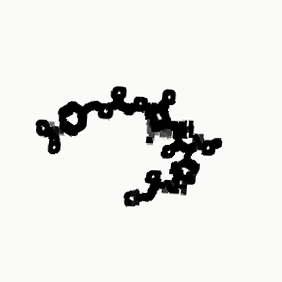 CON=C(C(=O)N[C@@H]1C(=O)N(OCC(=O)OCc2ccc([N+](=O)[O-])cc2)[C@H]1C)c1csc(NC(=O)CCl)n1